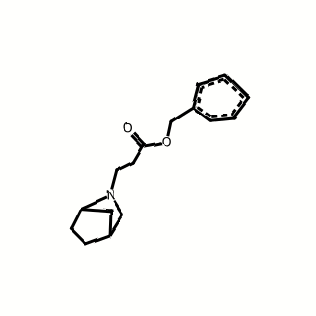 O=C(CCN1CC2CCC1C2)OCc1ccccc1